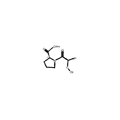 COC(=O)[C@@H]1CCCN1C(=O)C(OC#N)C(C)C